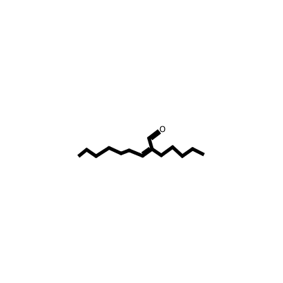 CCCCCCC=C(C=O)CCCCC